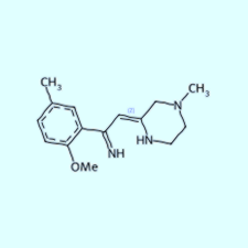 COc1ccc(C)cc1C(=N)/C=C1/CN(C)CCN1